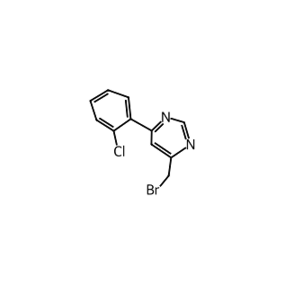 Clc1ccccc1-c1cc(CBr)ncn1